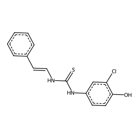 Oc1ccc(NC(=S)NC=Cc2ccccc2)cc1Cl